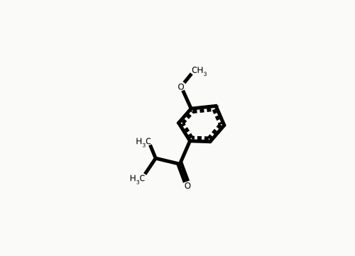 COc1[c]ccc(C(=O)C(C)C)c1